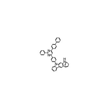 C1=CC2CC=C1c1cc3c4ccccc4n(-c4ccc(-c5cc(-c6ccc(-c7ccccc7)cc6)nc(-c6ccccc6)n5)cc4)c3cc1N2